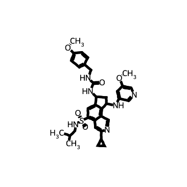 COc1ccc(CNC(=O)NC2CC(Nc3cncc(OC)c3)c3c2cc(S(=O)(=O)NCC(C)C)c2cc(C4CC4)ncc32)cc1